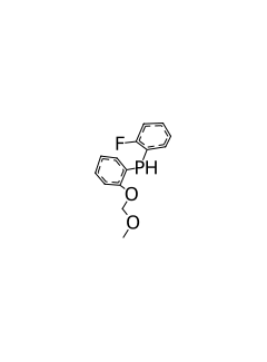 COCOc1ccccc1Pc1ccccc1F